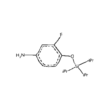 CC(C)[Si](Oc1ccc(N)cc1F)(C(C)C)C(C)C